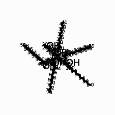 CCCCCCCCCCCCC(O)CN(CCN(CCN(CC(O)CC)CC(O)C(C)CCCCCCCCCC)CCN(CC(O)C(C)CCCCCCCCCC)CC(O)C(C)CCCCCCCCCC)CC(O)C(C)CCCCCCCCCC